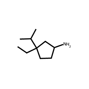 CCC1(C(C)C)CCC(N)C1